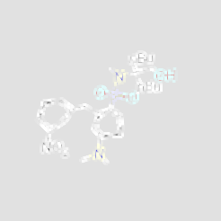 CCCCC(CO)(CCCC)N(C)S(=O)(=O)c1ccc(N(C)C)cc1Cc1cccc([N+](=O)[O-])c1